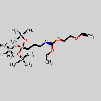 C=COCCOC(=NCCC[Si](O[Si](C)(C)C)(O[Si](C)(C)C)O[Si](C)(C)C)OCC